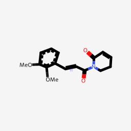 COc1cccc(/C=C/C(=O)N2CCC=CC2=O)c1OC